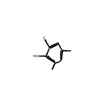 Cc1cc(C)c(O)c(F)c1